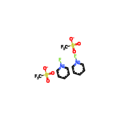 F[n+]1ccccc1.F[n+]1ccccc1.O=S(=O)([O-])C(F)(F)F.O=S(=O)([O-])C(F)(F)F